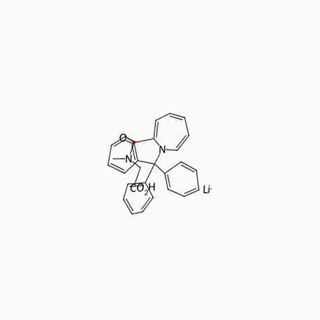 CN(CC(=O)O)C(=O)C1=CC=CC=CN1C(c1ccccc1)(c1ccccc1)c1ccccc1.[Li]